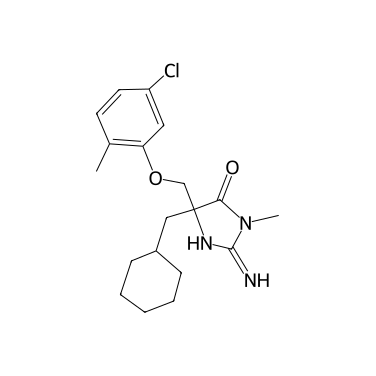 Cc1ccc(Cl)cc1OCC1(CC2CCCCC2)NC(=N)N(C)C1=O